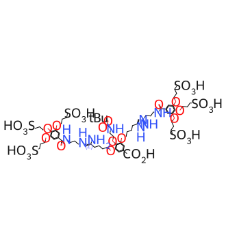 CC(C)(C)OC(=O)NCCOc1c(OCCCCC2=CN(CCCNC(=O)c3cc(OCCCS(=O)(=O)O)c(OCCCS(=O)(=O)O)c(OCCCS(=O)(=O)O)c3)NN2)cc(C(=O)O)cc1OCCCC/C(N)=C/NCCCNC(=O)c1cc(OCCCS(=O)(=O)O)c(OCCCS(=O)(=O)O)c(OCCCS(=O)(=O)O)c1